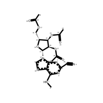 CNc1nc(C#N)nc2c1ncn2[C@@H]1O[C@H](COC(C)=O)[C@@H](OC(C)=O)[C@H]1OC(C)=O